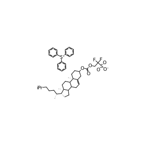 CC(C)CCC[C@@H](C)[C@H]1CCC2C3CC=C4CC(OC(=O)OCC(F)(F)S(=O)(=O)[O-])CC[C@]4(C)C3CC[C@@]21C.c1ccc([S+](c2ccccc2)c2ccccc2)cc1